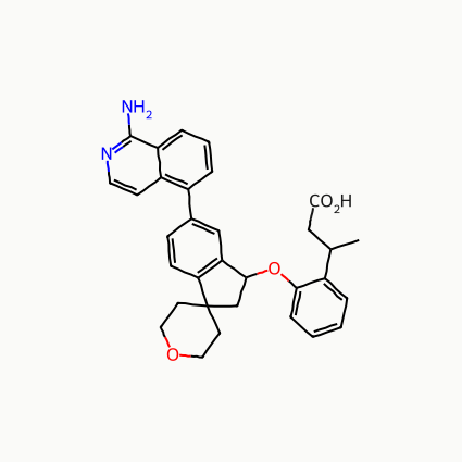 CC(CC(=O)O)c1ccccc1OC1CC2(CCOCC2)c2ccc(-c3cccc4c(N)nccc34)cc21